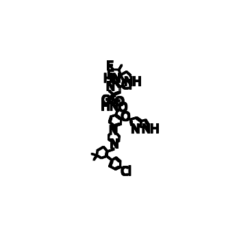 CC(C(F)F)[C@]1(Nc2ncc(S(=O)(=O)NC(=O)c3ccc(N4CCN(CC5=C(c6ccc(Cl)cc6)CC(C)(C)CC5)CC4)cc3Oc3cnc4[nH]ccc4c3)cc2Cl)CCNC1